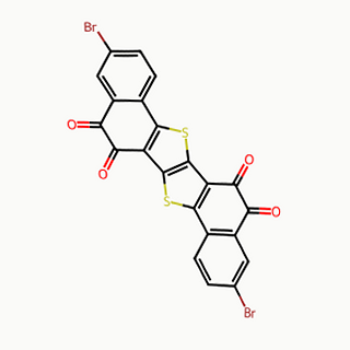 O=c1c(=O)c2c(sc3c2sc2c4ccc(Br)cc4c(=O)c(=O)c23)c2ccc(Br)cc12